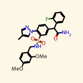 COc1ccc(CNS(=O)(=O)c2cc(C(C(N)=O)c3ccccc3F)ccc2-n2cc(C)cn2)c(OC)c1